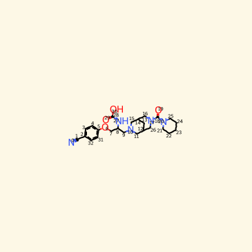 N#Cc1ccc(OCC(CN2CC3CC(C2)CN(C(=O)N2CCCCC2)C3)NC(=O)O)cc1